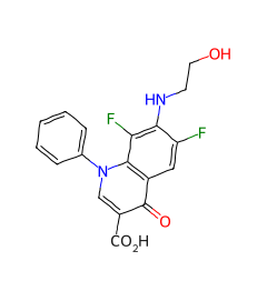 O=C(O)c1cn(-c2ccccc2)c2c(F)c(NCCO)c(F)cc2c1=O